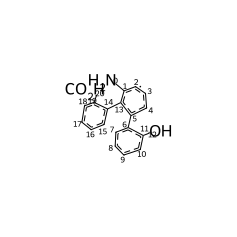 Nc1[c]ccc(-c2ccccc2O)c1-c1ccccc1C(=O)O